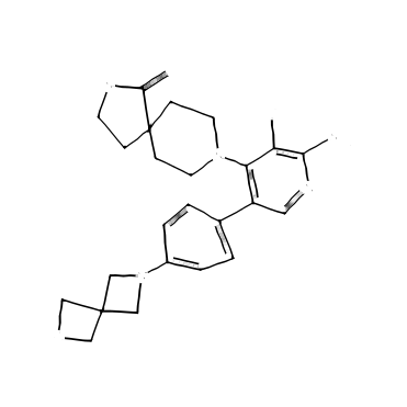 Nc1ncc(-c2ccc(N3CC4(COC4)C3)cc2)c(N2CCC3(CCNC3=O)CC2)c1Cl